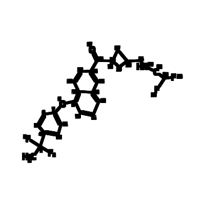 CC(F)(F)c1ccc(Oc2cccc3cc(C(=O)N4CC(CNCC(F)F)C4)ccc23)cc1